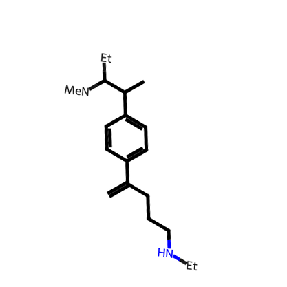 C=C(CCCNCC)c1ccc(C(C)C(CC)NC)cc1